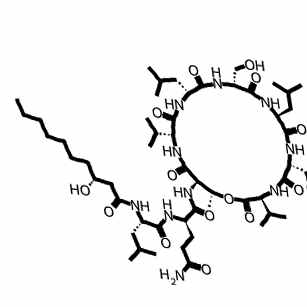 CCCCCCC[C@@H](O)CC(=O)N[C@@H](CC(C)C)C(=O)N[C@H](CCC(N)=O)C(=O)N[C@H]1C(=O)N[C@H](C(C)C)C(=O)N[C@H](CC(C)C)C(=O)N[C@H](CO)C(=O)N[C@@H](CC(C)C)C(=O)N[C@H](CO)C(=O)N[C@@H](C(C)C)C(=O)O[C@@H]1C